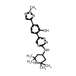 Cn1ncc(-c2ccc(-c3cnc(NC4CC(C)(C)NC(C)(C)C4)nn3)c(O)c2)n1